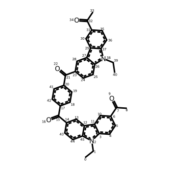 CCn1c2ccc(C(C)=O)cc2c2cc(C(=O)c3ccc(C(=O)c4ccc5c(c4)c4cc(C(C)=O)ccc4n5CC)cc3)ccc21